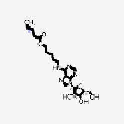 C/C=C/CC(=O)OCCCCCNc1ncnc2c1ncn2[C@@H]1O[C@H](CO)[C@@H](O)[C@H]1O